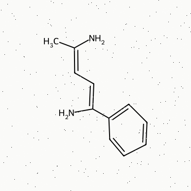 C/C(N)=C/C=C(\N)c1ccccc1